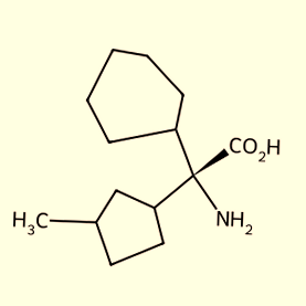 CC1CCC([C@](N)(C(=O)O)C2CCCCC2)C1